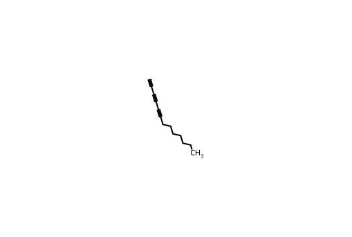 [C]#CC#CC#CCCCCCCC